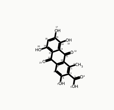 Cc1c(C(=O)O)c(O)cc2c1C(=O)c1c(O)c(O)cc(O)c1C2=O